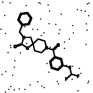 O=C1OC2(CCN(C(=O)c3cccc(SC(F)F)c3)CC2)CN1Cc1ccccc1